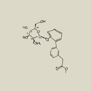 COC(=O)Cc1cccc(-c2ccccc2O[C@@H]2O[C@H](CO)[C@@H](O)[C@H](O)[C@@H]2O)c1